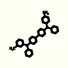 Cc1cccc(N(c2ccccc2)c2ccc(-c3ccc(N(c4ccccc4)c4ccc(N)cc4)cc3)cc2)c1